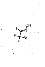 ON=C(F)C(F)(F)Br